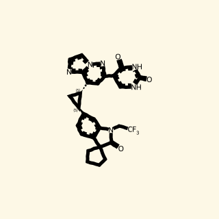 O=C1N(CC(F)(F)F)c2cc([C@H]3C[C@@H]3c3cc(-c4c[nH]c(=O)[nH]c4=O)nn4ccnc34)ccc2C12CCCC2